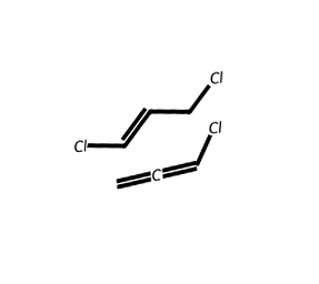 C=C=CCl.ClC=CCCl